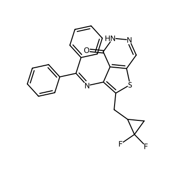 O=c1[nH]ncc2sc(CC3CC3(F)F)c(N=C(c3ccccc3)c3ccccc3)c12